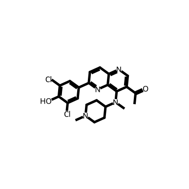 CC(=O)c1cnc2ccc(-c3cc(Cl)c(O)c(Cl)c3)nc2c1N(C)C1CCN(C)CC1